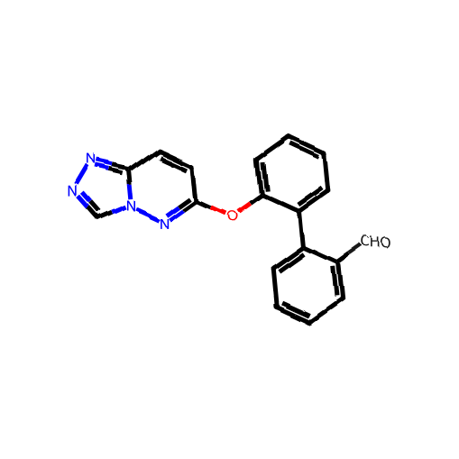 O=Cc1ccccc1-c1ccccc1Oc1ccc2nncn2n1